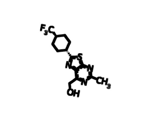 Cc1nc(CO)c2nc([C@H]3CC[C@H](C(F)(F)F)CC3)sc2n1